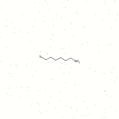 NCCCCC[CH2][Ti]